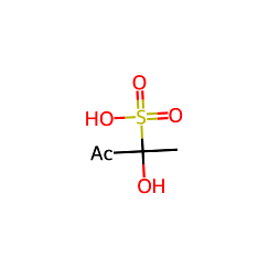 CC(=O)C(C)(O)S(=O)(=O)O